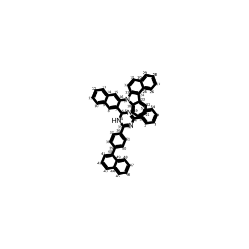 c1ccc(C2=NC(c3cc4ccccc4cc3-n3c4ccccc4c4c5ccccc5ccc43)NC(c3ccc(-c4cccc5ccccc45)cc3)=N2)cc1